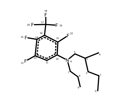 CCCC(C)CN(CCC)c1cc(F)c(F)c(C(F)(F)F)c1F